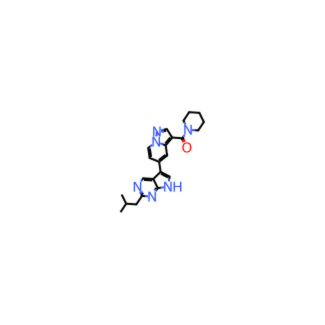 CC(C)Cc1ncc2c(-c3ccn4ncc(C(=O)N5CCCCC5)c4c3)c[nH]c2n1